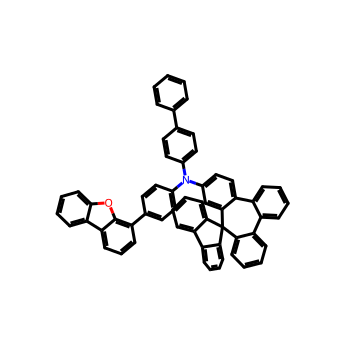 c1ccc(-c2ccc(N(c3ccc(-c4cccc5c4oc4ccccc45)cc3)c3ccc4c(c3)C3(c5ccccc5-c5ccccc5-4)c4ccccc4-c4ccccc43)cc2)cc1